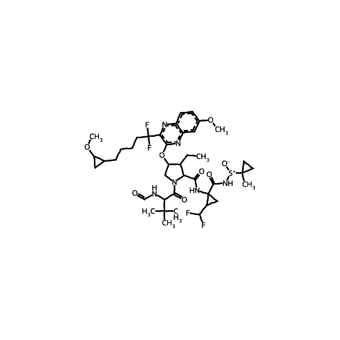 CCC1C(Oc2nc3cc(OC)ccc3nc2C(F)(F)CCCCC2CC2OC)CN(C(=O)C(NC=O)C(C)(C)C)C1C(=O)NC1(C(=O)N[S+]([O-])C2(C)CC2)CC1C(F)F